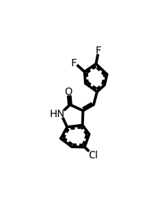 O=C1Nc2ccc(Cl)cc2C1=Cc1ccc(F)c(F)c1